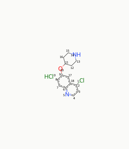 Cl.Clc1ccnc2ccc(OC3CCNCC3)cc12